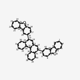 c1ccc2c(c1)oc1ccc(-c3cc4cc(-c5ccc6oc7ccccc7c6c5)c5ccccc5c4c4ccccc34)cc12